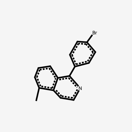 Cc1cccc2c(-c3ccc(Br)cc3)nccc12